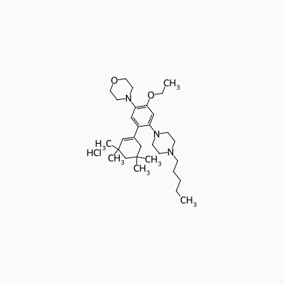 CCCCCN1CCN(c2cc(OCC)c(N3CCOCC3)cc2C2=CC(C)(C)CC(C)(C)C2)CC1.Cl